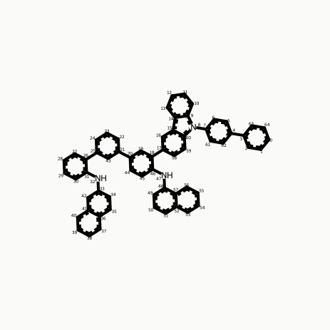 c1ccc(-c2ccc(-n3c4ccccc4c4cc(-c5cc(-c6cccc(-c7ccccc7Nc7ccc8ccccc8c7)c6)ccc5Nc5cccc6ccccc56)ccc43)cc2)cc1